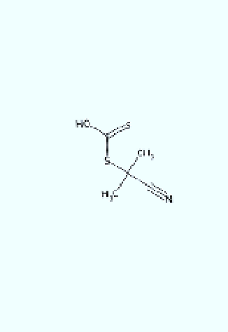 CC(C)(C#N)SC(O)=S